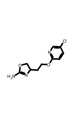 NC1=NC(CCOc2ccc(Cl)cn2)CO1